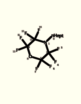 CCCCCCCN1C(F)(F)C(F)(F)OC(F)(F)C1(F)F